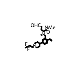 C=Cc1ccc(C2CCN(CCC(C)(F)F)CC2)cc1CN(C)C(CCC=O)C(=O)NC